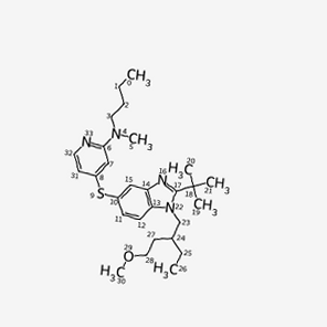 CCCCN(C)c1cc(Sc2ccc3c(c2)nc(C(C)(C)C)n3CC(CC)CCOC)ccn1